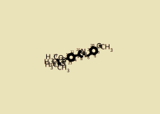 COc1ccc(Cn2cc(-c3ccc(B4OC(C)(C)C(C)(C)O4)cc3)cn2)cc1